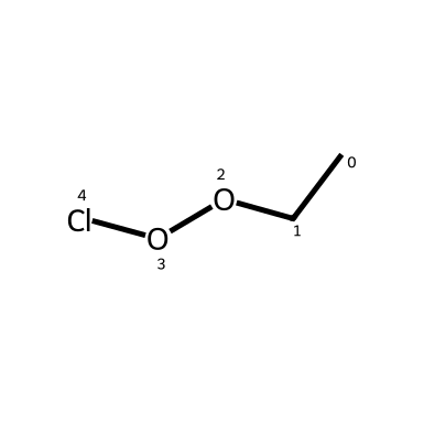 CCOOCl